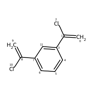 C=C(Cl)c1cccc(C(=C)Cl)c1